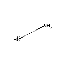 NCCCCCCCCCCCCCCCCCCCCCCCCCCCCC(=O)O